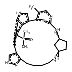 CP(C)(=O)c1c2ccc3c(c[nH]c13)-c1nc(ncc1C(F)(F)F)N[C@H]1CC[C@@H](C1)NCCCCc1n[nH]cc1-2